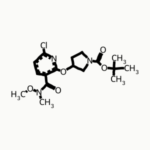 CON(C)C(=O)c1ccc(Cl)nc1OC1CCN(C(=O)OC(C)(C)C)C1